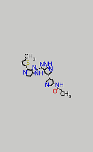 CCC(=O)Nc1cncc(-c2cnc3[nH]nc(-c4nc5c(-c6ccc(C)s6)nccc5[nH]4)c3c2)c1